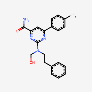 NC(=O)c1cc(-c2ccc(C(F)(F)F)cc2)nc(N(CO)CCc2ccccc2)n1